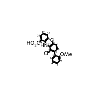 COc1ccccc1-c1ccc(Cl)c(Nc2ccccc2C(=O)O)c1Cl